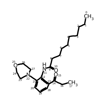 CCCCCCCCCC(=O)Nc1c(C(=O)CC)cccc1N1CCOCC1